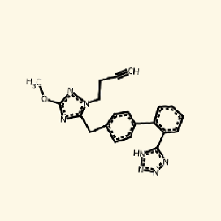 C#CCCn1nc(OC)nc1Cc1ccc(-c2ccccc2-c2nnn[nH]2)cc1